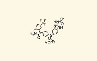 COC(=O)Nc1nc2cc(Sc3ccc(N(C(N)=O)c4cc(C(F)(F)F)ccc4F)cc3)ccc2[nH]1.CS(=O)(=O)O